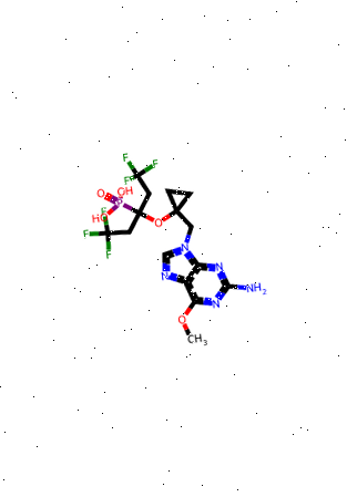 COc1nc(N)nc2c1ncn2CC1(OC(CC(F)(F)F)(CC(F)(F)F)P(=O)(O)O)CC1